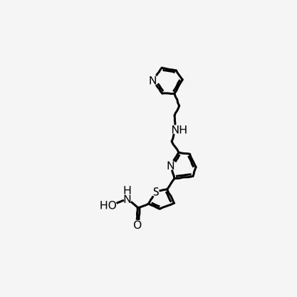 O=C(NO)c1ccc(-c2cccc(CNCCc3cccnc3)n2)s1